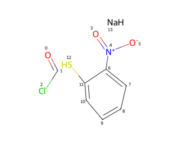 O=CCl.O=[N+]([O-])c1ccccc1S.[NaH]